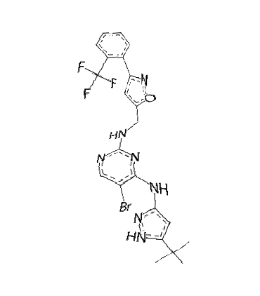 CC(C)(C)c1cc(Nc2nc(NCc3cc(-c4ccccc4C(F)(F)F)no3)ncc2Br)n[nH]1